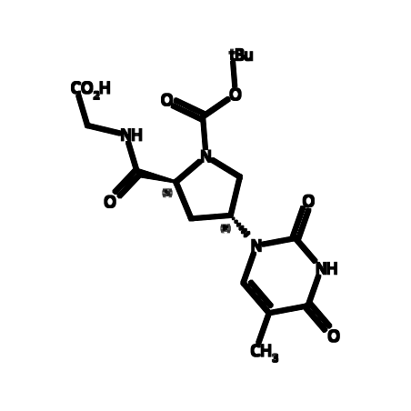 Cc1cn([C@@H]2C[C@@H](C(=O)NCC(=O)O)N(C(=O)OC(C)(C)C)C2)c(=O)[nH]c1=O